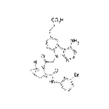 Nc1ncnc2c1c1cc(CCC(=O)O)ccc1n2CC(=O)N1[C@@H]2CC2C[C@H]1C(=O)Nc1cccc(Br)n1